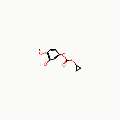 COc1ccc(OC(=O)OC2CC2)cc1O